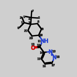 CC(C)C1(C(C)(C)C)CCC(NC(=O)c2cccnn2)CC1